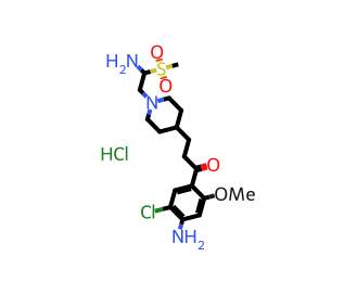 COc1cc(N)c(Cl)cc1C(=O)CCC1CCN(CC(N)S(C)(=O)=O)CC1.Cl